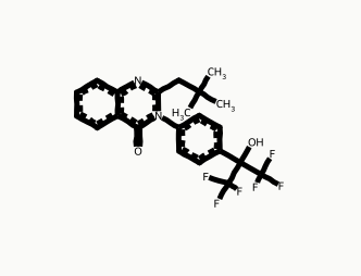 CC(C)(C)Cc1nc2ccccc2c(=O)n1-c1ccc(C(O)(C(F)(F)F)C(F)(F)F)cc1